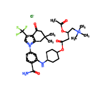 CC(=O)OC(CC(=O)OC1CCC(Nc2cc(-n3cc(C(F)(F)F)c4c3CC(C)(C)CC4=O)ccc2C(N)=O)CC1)C[N+](C)(C)C.[Cl-]